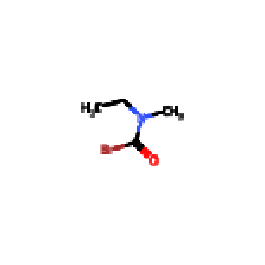 CCN(C)C(=O)Br